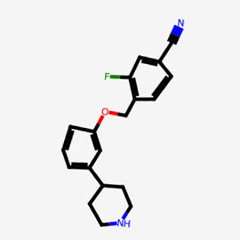 N#Cc1ccc(COc2cccc(C3CCNCC3)c2)c(F)c1